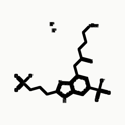 CCCCCCCCCCCCCC(=S)Cc1cc(S(=O)(=O)[O-])cc2[nH]c(CCCS(=O)(=O)[O-])nc12.[K+].[K+]